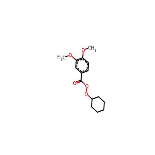 COc1ccc(C(=O)OO[C]2CCCCC2)cc1OC